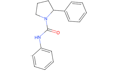 O=C(Nc1[c]cccc1)N1CCCC1c1ccccc1